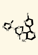 C[C@H]1C[C@H](c2nncn2C)CCN1c1c(C#N)ccnc1-c1ccc(F)nc1